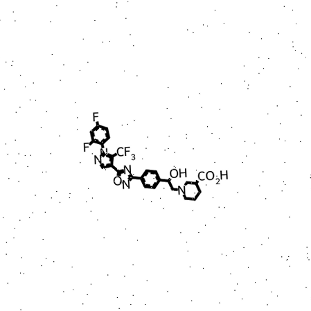 O=C(O)C1CCCN(CC(O)c2ccc(-c3noc(-c4cnn(-c5ccc(F)cc5F)c4C(F)(F)F)n3)cc2)C1